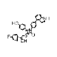 O=C1[C@H](SC[C@H](O)c2ccc(F)cc2)[C@@H](c2ccc(O)cc2)N1c1ccc(-c2cccc3[nH]ccc23)cc1